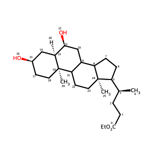 CCOC(=O)CC[C@H](C)C1CCC2C3C[C@H](O)[C@@H]4C[C@H](O)CC[C@]4(C)C3CC[C@@]21C